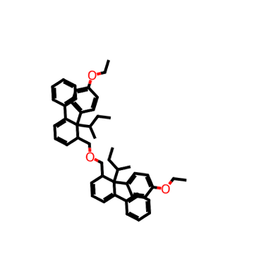 CCOc1ccc(C2(C(C)CC)C(c3ccccc3)=CC=CC2COCC2C=CC=C(c3ccccc3)C2(c2ccc(OCC)cc2)C(C)CC)cc1